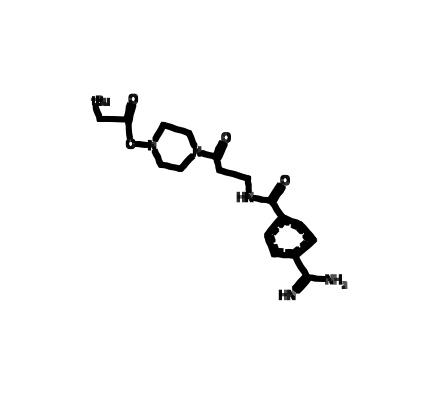 CC(C)(C)CC(=O)ON1CCN(C(=O)CCNC(=O)c2ccc(C(=N)N)cc2)CC1